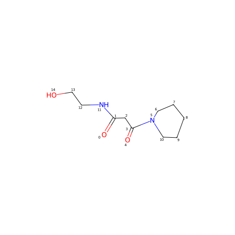 O=C(CC(=O)N1CC[CH]CC1)NCCO